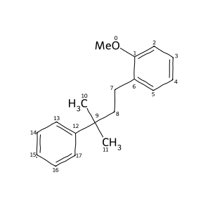 COc1ccccc1CCC(C)(C)c1cc[c]cc1